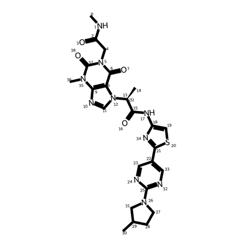 CNC(=O)Cn1c(=O)c2c(ncn2[C@@H](C)C(=O)Nc2csc(-c3cnc(N4CCC(C)C4)nc3)n2)n(C)c1=O